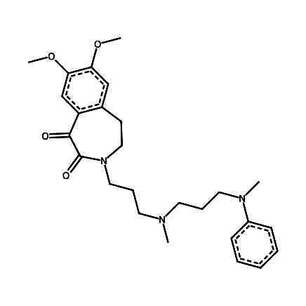 COc1cc2c(cc1OC)C(=O)C(=O)N(CCCN(C)CCCN(C)c1ccccc1)CC2